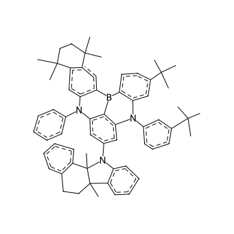 CC(C)(C)c1cccc(N2c3cc(C(C)(C)C)ccc3B3c4cc5c(cc4N(c4ccccc4)c4cc(N6c7ccccc7C7(C)CCc8ccccc8C67C)cc2c43)C(C)(C)CCC5(C)C)c1